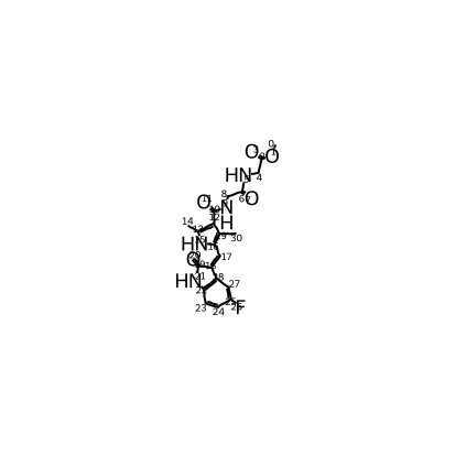 COC(=O)CNC(=O)CNC(=O)c1c(C)[nH]c(/C=C2\C(=O)Nc3ccc(F)cc32)c1C